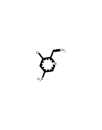 C=Cc1ncc([N+](=O)[O-])cc1Cl